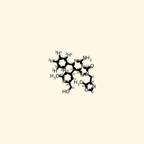 [2H]c1c([2H])c([2H])c(-c2nc(N)n3c(=O)n(Cc4ncoc4C)nc3c2-c2cc(C)nc(CO)c2)c([2H])c1[2H]